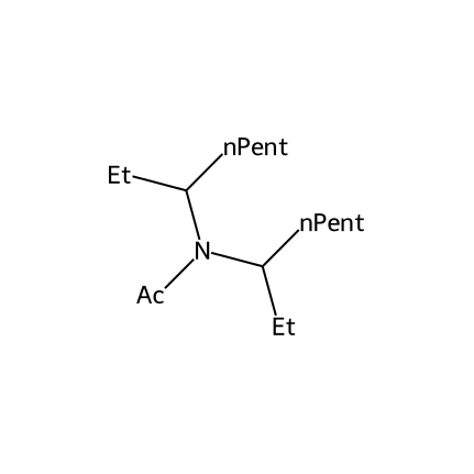 CCCCCC(CC)N(C(C)=O)C(CC)CCCCC